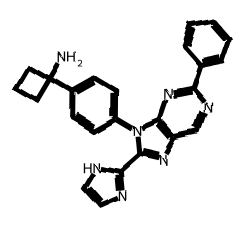 NC1(c2ccc(-n3c(-c4ncc[nH]4)nc4cnc(-c5ccccc5)nc43)cc2)CCC1